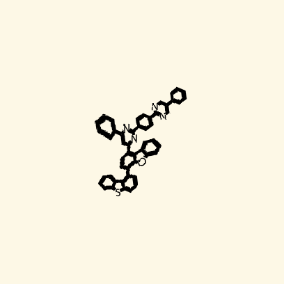 c1ccc(-c2cnc(-c3ccc(-c4nc(-c5ccccc5)cc(-c5ccc(-c6cccc7sc8ccccc8c67)c6oc7ccccc7c56)n4)cc3)nc2)cc1